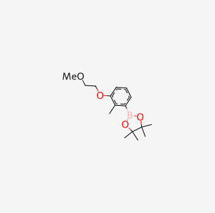 COCCOc1cccc(B2OC(C)(C)C(C)(C)O2)c1C